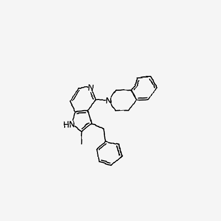 Cc1[nH]c2ccnc(N3CCc4ccccc4C3)c2c1Cc1ccccc1